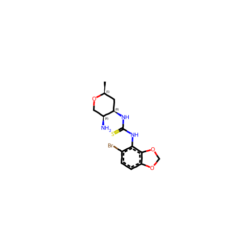 C[C@H]1C[C@@H](NC(=S)Nc2c(Br)ccc3c2OCO3)[C@@H](N)CO1